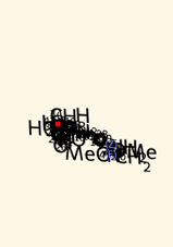 C=C(/N=C(OC)\C(=C/N)c1ccc(CCNC(=O)c2ccc3c4c2O[C@H]2C(=O)CC[C@@]5(O)[C@@H](C3)N(C)CC[C@]425)cc1)OC